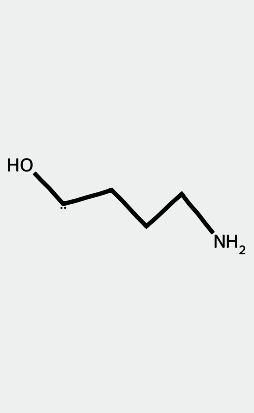 NCCC[C]O